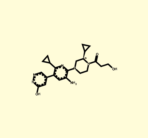 Nc1cc(-c2cnnc(O)c2)c(C2CC2)nc1N1CCN(C(=O)CCO)[C@H](C2CC2)C1